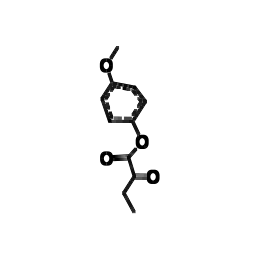 CCC(=O)C(=O)Oc1ccc(OC)cc1